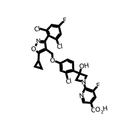 O=C(O)c1cnc(N2CC(O)(c3ccc(OCc4c(-c5c(Cl)cc(F)cc5Cl)noc4C4CC4)cc3Cl)C2)c(F)c1